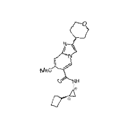 COc1cc2nc(C3CCOCC3)cn2cc1C(=O)N[C@@H]1C[C@H]1C1CCC1